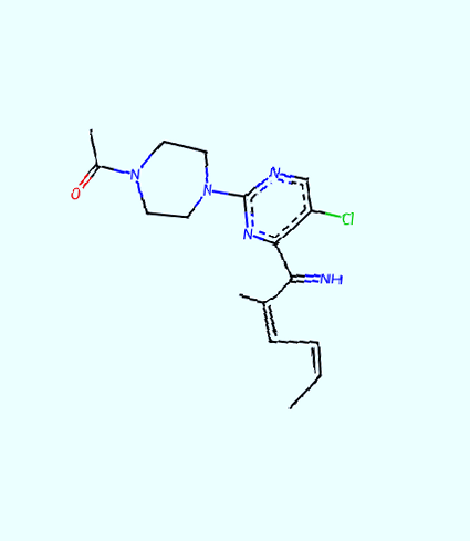 C/C=C\C=C(\C)C(=N)c1nc(N2CCN(C(C)=O)CC2)ncc1Cl